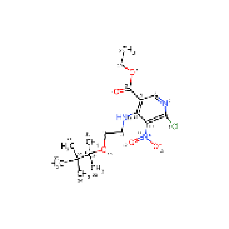 CCOC(=O)c1cnc(Cl)c([N+](=O)[O-])c1NCCO[Si](C)(C)C(C)(C)C